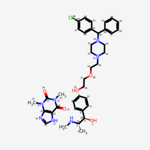 CN[C@@H](C)[C@H](O)c1ccccc1.Cn1c(=O)c2[nH]cnc2n(C)c1=O.OCCOCCN1CCN(C(c2ccccc2)c2ccc(Cl)cc2)CC1